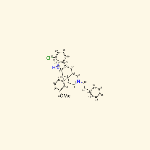 COc1cccc(C23CCN(CCc4ccccc4)CC2Cc2c([nH]c4c(Cl)cccc24)C3)c1